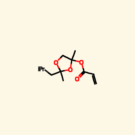 C=CC(=O)OC1(C)COC(C)(CC(C)C)O1